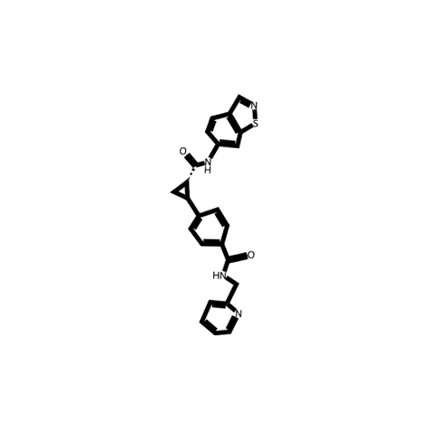 O=C(NCc1ccccn1)c1ccc(C2C[C@@H]2C(=O)Nc2ccc3cnsc3c2)cc1